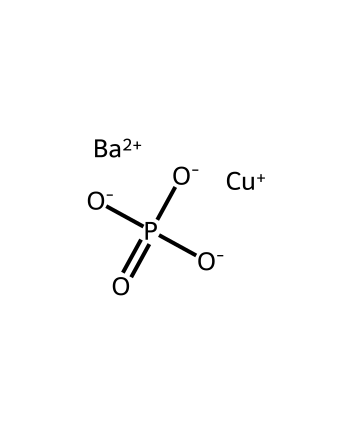 O=P([O-])([O-])[O-].[Ba+2].[Cu+]